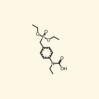 CCOP(=O)(Cc1ccc(N(CC)C(=O)O)cc1)OCC